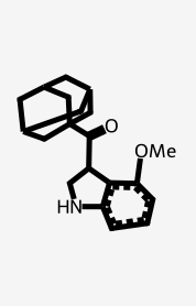 COc1cccc2c1C(C(=O)C13CC4CC(CC(C4)C1)C3)CN2